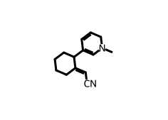 CN1C=C(C2CCCCC2=CC#N)C=CC1